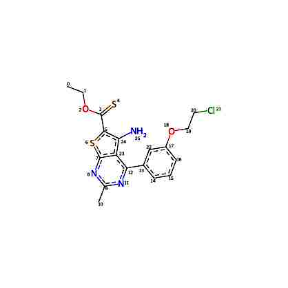 CCOC(=S)c1sc2nc(C)nc(-c3cccc(OCCCl)c3)c2c1N